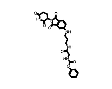 O=C(CNC(=O)Oc1ccccc1)NCCCNc1ccc2c(c1)C(=O)N(C1CCC(=O)NC1=O)C2=O